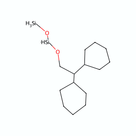 [SiH3]O[SiH]OCC(C1CCCCC1)C1CCCCC1